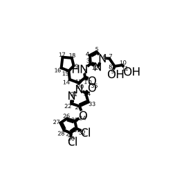 O=C(Nc1ccn(CC(O)CO)n1)C(CC1CCCC1)n1ncc(Oc2cccc(Cl)c2Cl)cc1=O